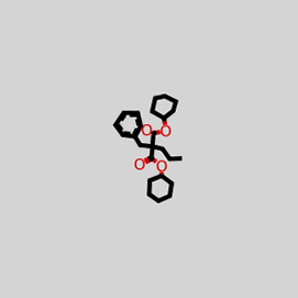 CCCC(Cc1ccccc1)(C(=O)OC1CCCCC1)C(=O)OC1CCCCC1